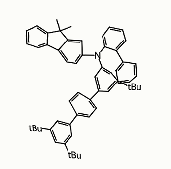 CC(C)(C)c1cc(-c2ccc(-c3cc(C(C)(C)C)cc(C(C)(C)C)c3)cc2)cc(N(c2ccc3c(c2)C(C)(C)c2ccccc2-3)c2ccccc2-c2ccccc2)c1